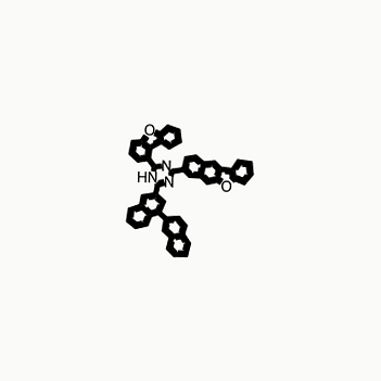 c1ccc2cc(-c3cc(C4=NC(c5ccc6cc7c(cc6c5)oc5ccccc57)=NC(c5cccc6oc7ccccc7c56)N4)cc4ccccc34)ccc2c1